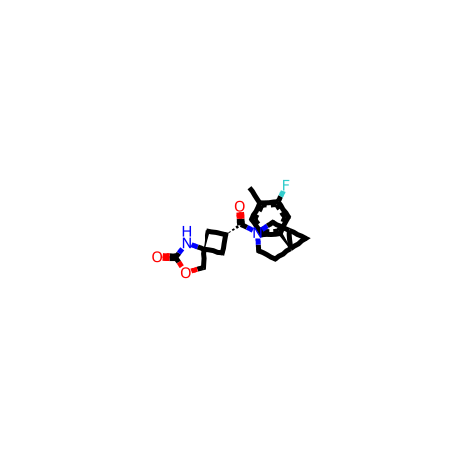 Cc1ccc([C@@]23CCN(C(=O)[C@H]4C[C@]5(COC(=O)N5)C4)CC2C3)cc1F